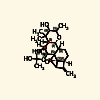 C=C1C2C(=O)[C@]34[C@H]2[C@H]1CC[C@H]3[C@@]12CO[C@]4(OC(C)(C)O)[C@@H](O)[C@@H]1C(C)(C)[C@@H](O)[C@@H](C)O2